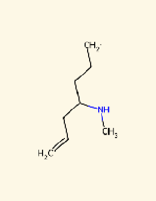 [CH2]CCC(CC=C)NC